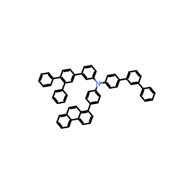 c1ccc(-c2cccc(-c3ccc(N(c4ccc(-c5cccc6c5ccc5ccccc56)cc4)c4cccc(-c5ccc(-c6ccccc6)c(-c6ccccc6)c5)c4)cc3)c2)cc1